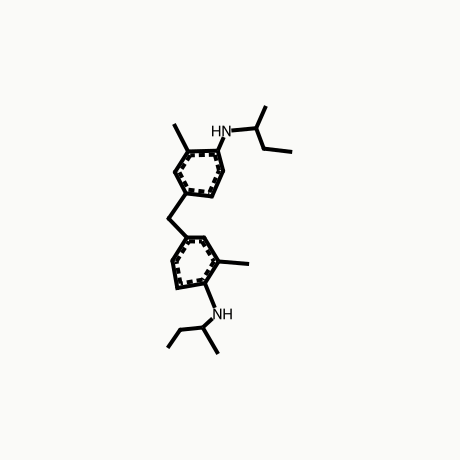 CCC(C)Nc1ccc(Cc2ccc(NC(C)CC)c(C)c2)cc1C